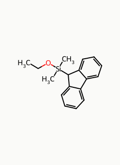 CCO[Si](C)(C)C1c2ccccc2-c2ccccc21